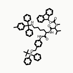 Cc1ccc(C(NCCCCC(NC(=O)C(C(C)C)N(C)C(=O)OC2c3ccccc3-c3ccccc32)C(=O)Nc2ccc(CO[Si](c3ccccc3)(c3ccccc3)C(C)(C)C)cc2)(c2ccccc2)c2ccccc2)cc1